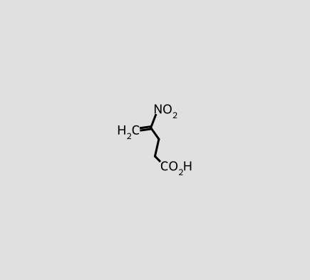 C=C(CCC(=O)O)[N+](=O)[O-]